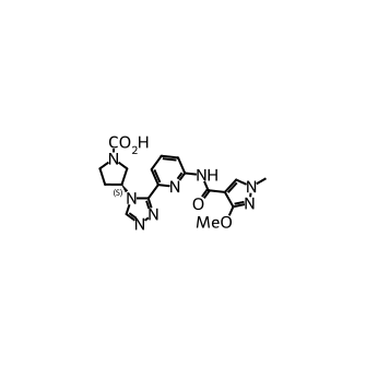 COc1nn(C)cc1C(=O)Nc1cccc(-c2nncn2[C@H]2CCN(C(=O)O)C2)n1